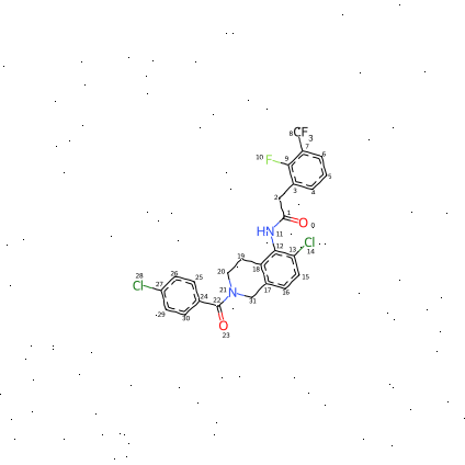 O=C(Cc1cccc(C(F)(F)F)c1F)Nc1c(Cl)ccc2c1CCN(C(=O)c1ccc(Cl)cc1)C2